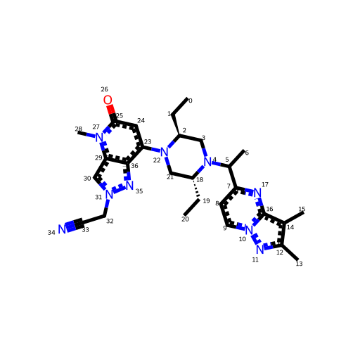 CC[C@H]1CN(C(C)c2ccn3nc(C)c(C)c3n2)[C@H](CC)CN1c1cc(=O)n(C)c2cn(CC#N)nc12